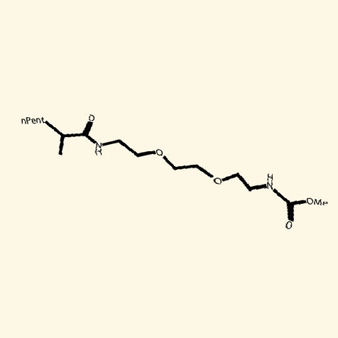 CCCCCC(C)C(=O)NCCOCCOCCNC(=O)OC